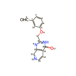 O=Cc1cccc(OCc2nc3cnccc3c(=O)[nH]2)c1